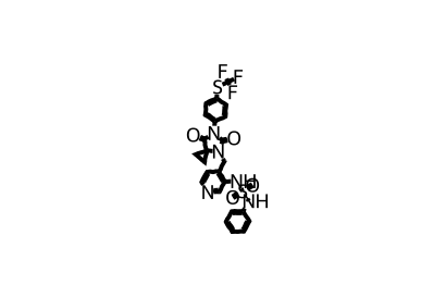 O=C1N(c2ccc(SC(F)(F)F)cc2)C(=O)C2(CC2)N1Cc1ccncc1NS(=O)(=O)Nc1ccccc1